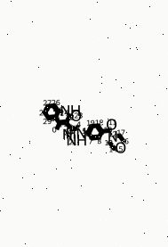 Cc1c(/C(=C/Nc2ccc(C(=O)N3CCOCC3)cc2)N=N)c(=O)[nH]c2ccccc12